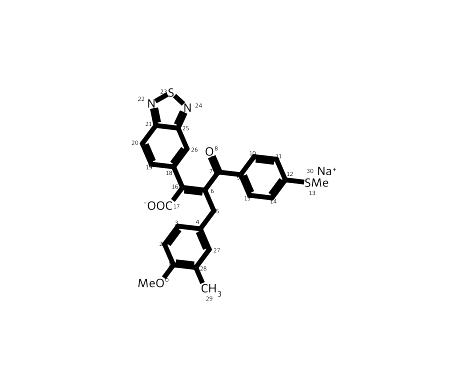 COc1ccc(CC(C(=O)c2ccc(SC)cc2)=C(C(=O)[O-])c2ccc3nsnc3c2)cc1C.[Na+]